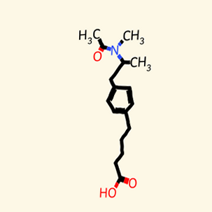 CC(=O)N(C)C(C)Cc1ccc(CCCCC(=O)O)cc1